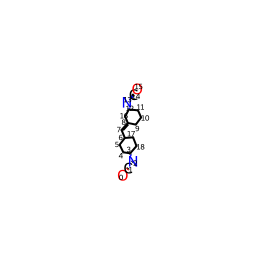 O=C=NC1CCC(C=C2CCCC(N=C=O)C2)CC1